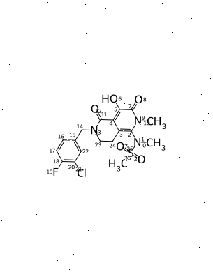 CN(c1c2c(c(O)c(=O)n1C)C(=O)N(Cc1ccc(F)c(Cl)c1)CC2)S(C)(=O)=O